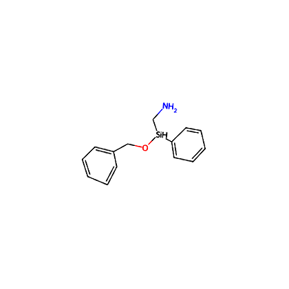 NC[SiH](OCc1ccccc1)c1ccccc1